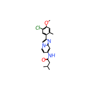 COc1cc(C)c(-c2cn3ccc(NC(=O)CC(C)C)cc3n2)cc1Cl